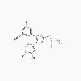 CCOC(=O)Oc1cc(-c2cc(F)cc(C#N)c2)c(-c2ccc(F)c(Cl)c2)o1